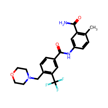 Cc1ccc(NC(=O)c2ccc(CN3CCOCC3)c(C(F)(F)F)c2)cc1C(N)=O